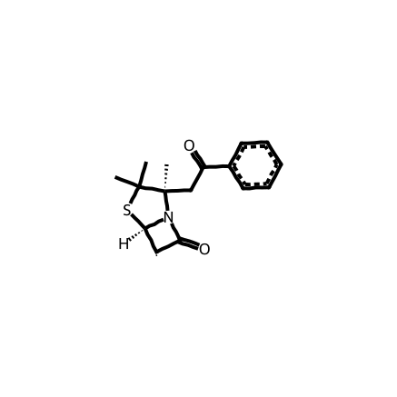 CC1(C)S[C@@H]2[CH]C(=O)N2[C@]1(C)CC(=O)c1ccccc1